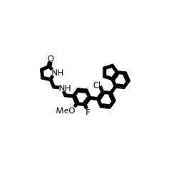 COc1c(CNCC2CCC(=O)N2)ccc(-c2cccc(-c3cccc4c3CCC4)c2Cl)c1F